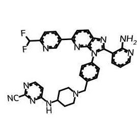 N#Cc1nccc(NC2CCN(Cc3ccc(-n4c(-c5cccnc5N)nc5ccc(-c6ccc(C(F)F)nc6)nc54)cc3)CC2)n1